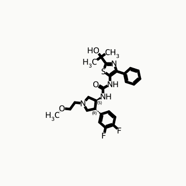 COCCN1C[C@@H](NC(=O)Nc2sc(C(C)(C)O)nc2-c2ccccc2)[C@H](c2ccc(F)c(F)c2)C1